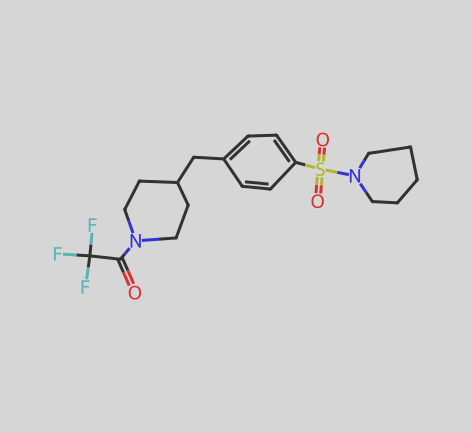 O=C(N1CCC(Cc2ccc(S(=O)(=O)N3CCCCC3)cc2)CC1)C(F)(F)F